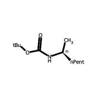 CCCCC[C@H](C)NC(=O)OC(C)(C)C